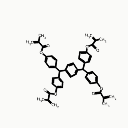 C=C(C)C(=O)Oc1ccc(C(c2ccc(OC(=O)C(=C)C)cc2)c2ccc(C(c3ccc(OC(=O)C(=C)C)cc3)c3ccc(OC(=O)C(=C)C)cc3)cc2)cc1